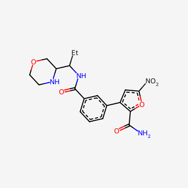 CCC(NC(=O)c1cccc(-c2cc([N+](=O)[O-])oc2C(N)=O)c1)C1COCCN1